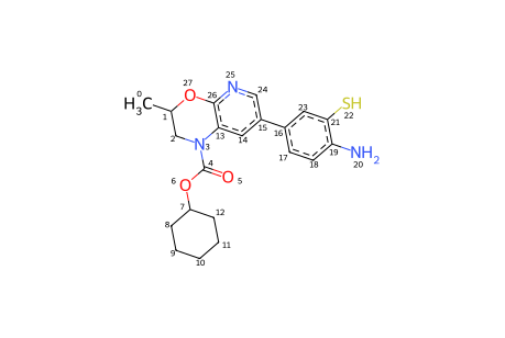 CC1CN(C(=O)OC2CCCCC2)c2cc(-c3ccc(N)c(S)c3)cnc2O1